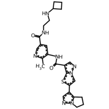 Cc1ncc(C(=O)NCCNC2CCC2)cc1NC(=O)c1cnn2cc(-c3cnn4c3CCC4)sc12